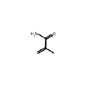 C=C(C)C(=O)[SiH2]